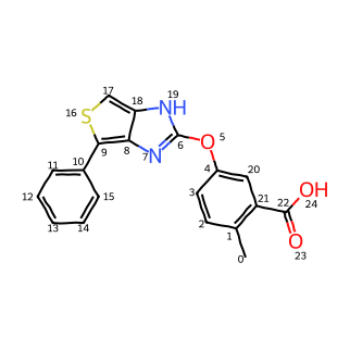 Cc1ccc(Oc2nc3c(-c4ccccc4)scc3[nH]2)cc1C(=O)O